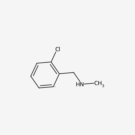 CNCc1[c]cccc1Cl